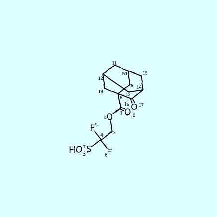 O=C(OCC(F)(F)S(=O)(=O)O)C12CC3CC(CC(C3)C1=O)C2